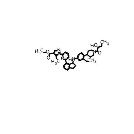 CCOC(=O)c1cnn(-c2cccc(-c3cccc4c3C(Nc3ccc(C5CCN(C(=O)[C@@H](O)CC)CC5)c(CC)c3)CC4)n2)c1CC